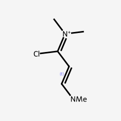 CN/C=C/C(Cl)=[N+](C)C